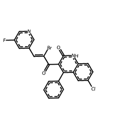 O=C(/C(Br)=C/c1cncc(F)c1)c1c(-c2ccccc2)c2cc(Cl)ccc2[nH]c1=O